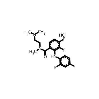 CN(C)CCN(C)C(=O)c1ccc(F)c(F)c1Nc1ccc(I)cc1F.Cl